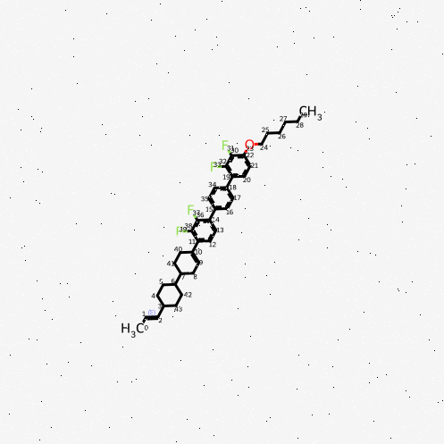 C/C=C/C1CCC(C2CC=C(c3ccc(-c4ccc(-c5ccc(OCCCCCC)c(F)c5F)cc4)c(F)c3F)CC2)CC1